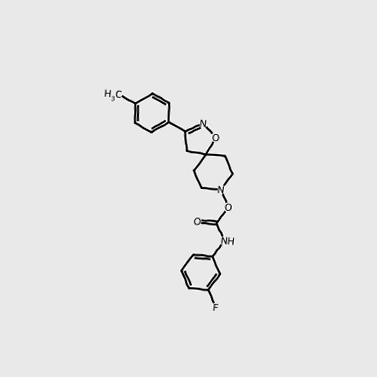 Cc1ccc(C2=NOC3(CCN(OC(=O)Nc4cccc(F)c4)CC3)C2)cc1